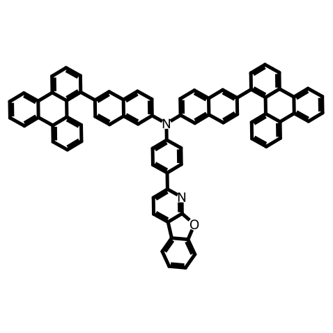 c1ccc2c(c1)oc1nc(-c3ccc(N(c4ccc5cc(-c6cccc7c8ccccc8c8ccccc8c67)ccc5c4)c4ccc5cc(-c6cccc7c8ccccc8c8ccccc8c67)ccc5c4)cc3)ccc12